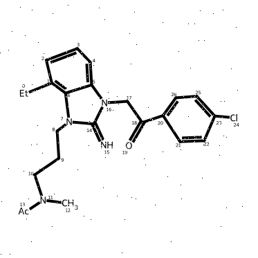 CCc1cccc2c1n(CCCN(C)C(C)=O)c(=N)n2CC(=O)c1ccc(Cl)cc1